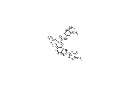 Cc1cc(NC(=O)C(=O)N2C[C@@H](C)CC[C@@H]2c2ccc3sc([C@H]4CCN(C)C(=O)C4)nc3c2)cnc1N